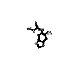 Cc1cc2scnc2cc1NC(=O)OC(C)(C)C